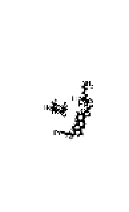 CC(C)CCC[C@@H](C)[C@H]1CCC2C3CC=C4CC(OC(=O)[C@H](C)NC(=O)C(N)CCCCN)CC[C@]4(C)C3CC[C@@]21C.O=C(O)C(F)(F)F.O=C(O)C(F)(F)F